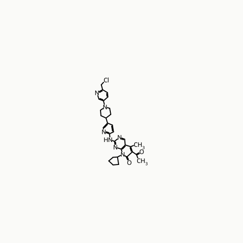 CC(=O)c1c(C)c2cnc(Nc3ccc(C4CCN(c5ccc(CCl)nc5)CC4)cn3)nc2n(C2CCCC2)c1=O